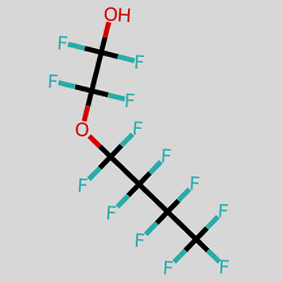 OC(F)(F)C(F)(F)OC(F)(F)C(F)(F)C(F)(F)C(F)(F)F